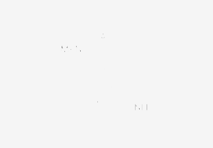 CNCc1c(C(C)=O)ccc(N)c1C